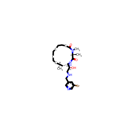 C[C@@H]1CCCCCCCCC(=O)N(C)[C@@H](C)C(=O)N[C@H]([C@H](O)CNCc2cncc(Br)c2)C1